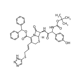 CC(C)(C)OC(=O)NC(C(=O)N[C@@H]1C(=O)N2C(C(=O)OC(c3ccccc3)c3ccccc3)=C(/C=C/CSc3cnn[nH]3)CS[C@H]12)c1ccc(O)cc1